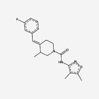 Cc1onc(NC(=O)N2CCC(=Cc3cccc(F)c3)C(C)C2)c1C